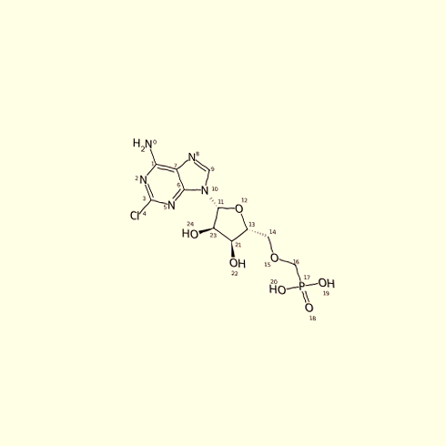 Nc1nc(Cl)nc2c1ncn2[C@@H]1O[C@H](COCP(=O)(O)O)[C@@H](O)[C@H]1O